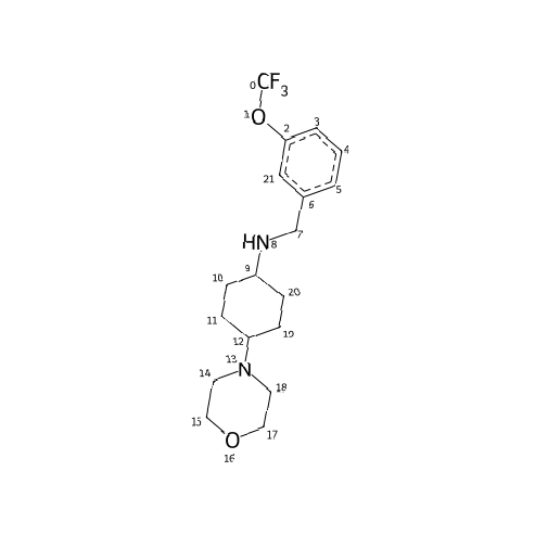 FC(F)(F)Oc1cccc(CNC2CCC(N3CCOCC3)CC2)c1